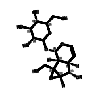 OC[C@H]1OC(O[C@@H]2OC=C[C@H]3[C@H](O)[C@@H]4O[C@]4(CO)[C@@H]23)[C@H](O)[C@@H](O)[C@@H]1O